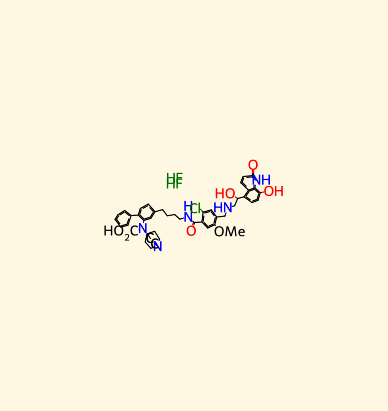 COc1cc(C(=O)NCCCCc2ccc(-c3ccccc3)c(N(C(=O)O)C34CCN(CC3)CC4)c2)c(Cl)cc1CNCC(O)c1ccc(O)c2[nH]c(=O)ccc12.F.F